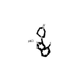 Cl.Fc1cccc2snc(N3CCNCC3)c12